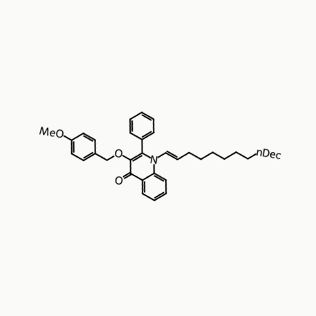 CCCCCCCCCCCCCCCCC=Cn1c(-c2ccccc2)c(OCc2ccc(OC)cc2)c(=O)c2ccccc21